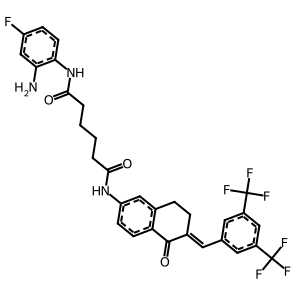 Nc1cc(F)ccc1NC(=O)CCCCC(=O)Nc1ccc2c(c1)CC/C(=C\c1cc(C(F)(F)F)cc(C(F)(F)F)c1)C2=O